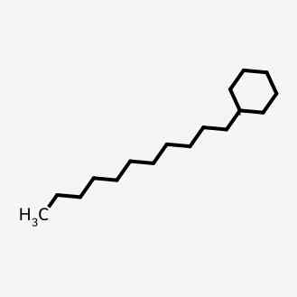 CCCCCCCCCCC[C]1CCCCC1